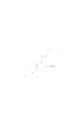 CN(C)N=Nc1cc(C(C)(C)C)[se]c1C#N